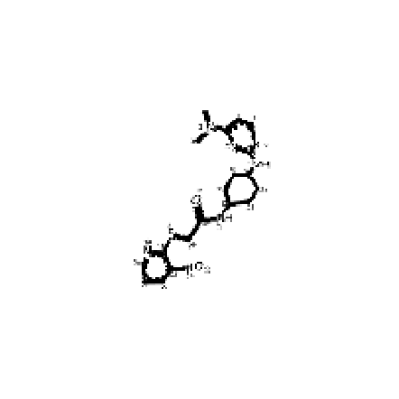 CN(C)c1ccnc(NC2CCC(NC(=O)CSc3ncccc3[N+](=O)[O-])CC2)n1